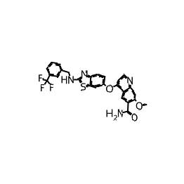 COc1cc2nccc(Oc3ccc4nc(NCc5cccc(C(F)(F)F)c5)sc4c3)c2cc1C(N)=O